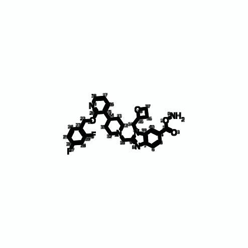 NOC(=O)c1ccc2nc(CN3CCC(c4cccnc4OCc4ccc(F)cc4F)CC3)n(CC3CCO3)c2c1